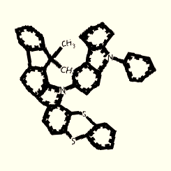 CC1(C)c2ccccc2-c2ccc3c4ccc5c(c4n(-c4ccc6c(c4)c4ccccc4n6-c4ccccc4)c3c21)Sc1ccccc1S5